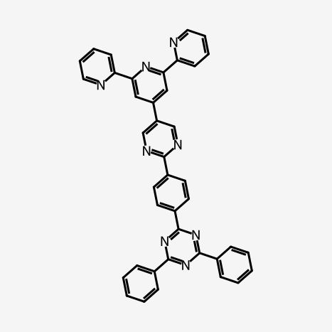 c1ccc(-c2nc(-c3ccccc3)nc(-c3ccc(-c4ncc(-c5cc(-c6ccccn6)nc(-c6ccccn6)c5)cn4)cc3)n2)cc1